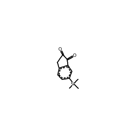 C[Si](C)(C)c1ccc2c(c1)C(=O)C(=O)C2